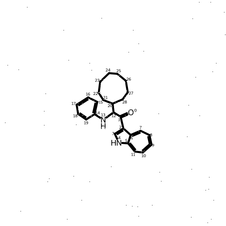 O=C(c1c[nH]c2c1=CC=C=CC=2)C(Nc1ccccc1)C1CCCCCCCC1